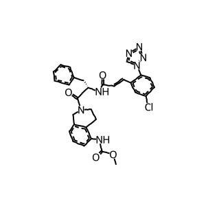 COC(=O)Nc1cccc2c1CCN(C(=O)[C@H](Cc1ccccc1)NC(=O)C=Cc1cc(Cl)ccc1-n1cnnn1)C2